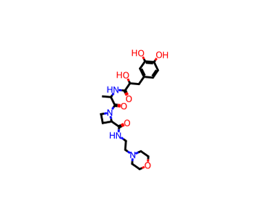 CC(NC(=O)C(O)Cc1ccc(O)c(O)c1)C(=O)N1CCC1C(=O)NCCN1CCOCC1